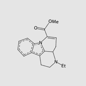 CCN1CCc2c3n(c4ccccc24)C(C(=O)OC)=CCC31